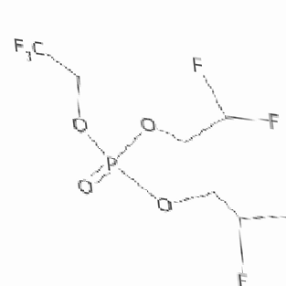 O=P(OCC(F)F)(OCC(F)F)OCC(F)(F)F